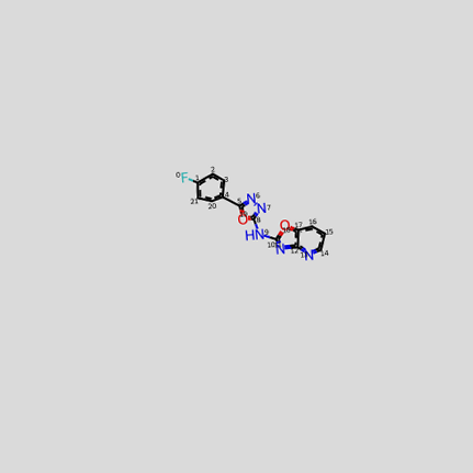 Fc1ccc(-c2nnc(Nc3nc4ncccc4o3)o2)cc1